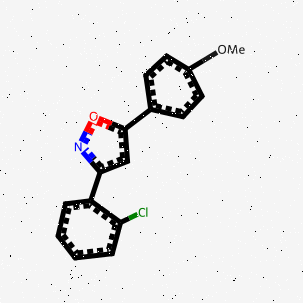 COc1ccc(-c2cc(-c3ccccc3Cl)no2)cc1